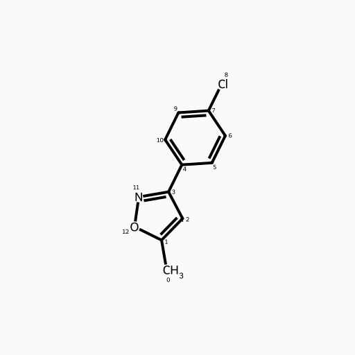 Cc1[c]c(-c2ccc(Cl)cc2)no1